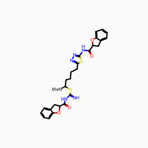 CNC(CCCCc1nnc(NC(=O)C2Cc3ccccc3O2)s1)SC(=N)NC(=O)C1Cc2ccccc2O1